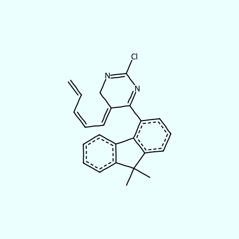 C=C/C=C\C=C1/CN=C(Cl)N=C1c1cccc2c1-c1ccccc1C2(C)C